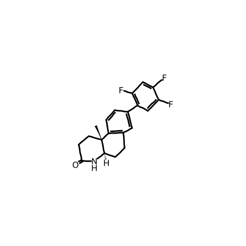 C[C@]12CCC(=O)N[C@@H]1CCc1cc(-c3cc(F)c(F)cc3F)ccc12